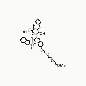 COCCOCCOCCOc1ccc(CC(CC(O)C(Cc2ccccc2)NC(=O)OC(C)(C)C)C(=O)N[C@H]2c3ccccc3C[C@@H]2O)cc1